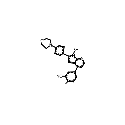 N#Cc1cc(-c2ccnc3c2cc(-c2ccc(N4CCOCC4)cc2)n3S)ccc1F